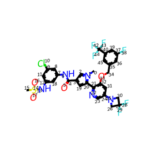 Cn1cc(C(=O)Nc2cc(Cl)cc(NS(C)(=O)=O)c2)cc1-c1ncc(N2CC(F)(F)C2)cc1OCc1cc(F)cc(C(F)(F)F)c1